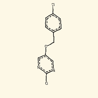 Clc1ccc(COc2cnc(Cl)nc2)cc1